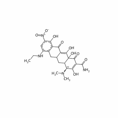 CCNc1cc([N+](=O)[O-])c(O)c2c1CC1CC3[C@H](N(C)C)C(O)=C(C(N)=O)C(=O)C3(O)C(O)=C1C2=O